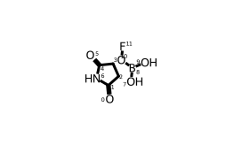 O=C1CCC(=O)N1.OB(O)OF